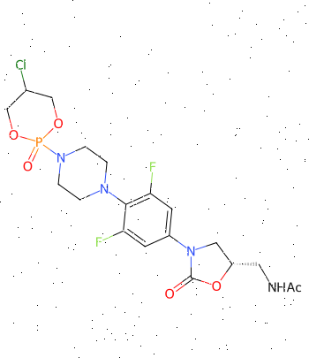 CC(=O)NC[C@H]1CN(c2cc(F)c(N3CCN(P4(=O)OCC(Cl)CO4)CC3)c(F)c2)C(=O)O1